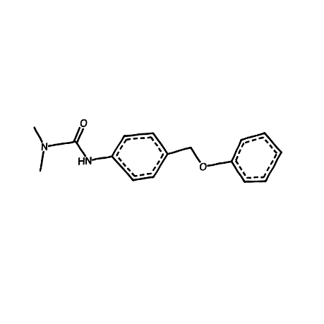 CN(C)C(=O)Nc1ccc(COc2ccccc2)cc1